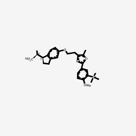 COc1ccc(-c2nc(CCOc3ccc4c(c3)CC[C@H]4[C@H](C)C(=O)O)c(C)o2)cc1[N+](C)(C)C